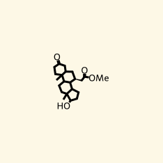 COC(=O)C[C@@H]1CC2CC(=O)CCC2(C)C2CCC3(C)C(O)CCC3C21